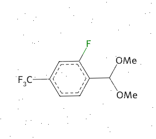 COC(OC)c1ccc(C(F)(F)F)cc1F